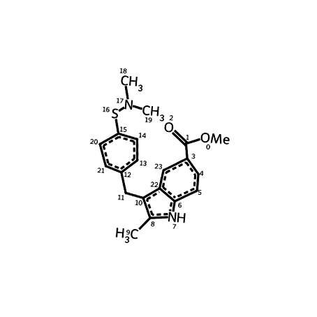 COC(=O)c1ccc2[nH]c(C)c(Cc3ccc(SN(C)C)cc3)c2c1